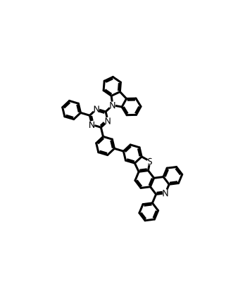 c1ccc(-c2nc(-c3cccc(-c4ccc5sc6c(ccc7c(-c8ccccc8)nc8ccccc8c76)c5c4)c3)nc(-n3c4ccccc4c4ccccc43)n2)cc1